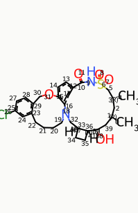 C[C@@H]1C[C@@H](C)CS(=O)(=O)NC(=O)c2ccc3c(c2)N(CCCCc2cc(Cl)ccc2CO3)C[C@@H]2CC[C@H]2[C@@H](O)C1